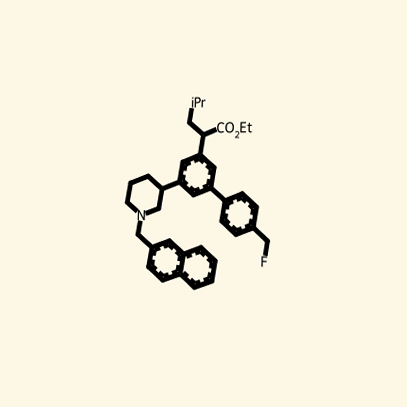 CCOC(=O)C(CC(C)C)c1cc(-c2ccc(CF)cc2)cc(C2CCCN(Cc3ccc4ccccc4c3)C2)c1